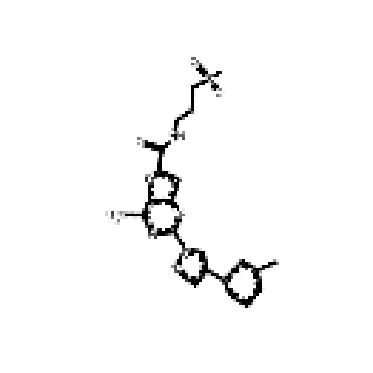 Cc1cccc(-c2cnn(-c3nc(N)c4oc(C(=O)NCCCS(C)(=O)=O)cc4n3)c2)c1